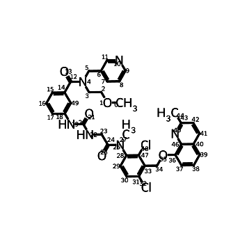 COCCN(Cc1cccnc1)C(=O)c1cccc(NC(=O)NCC(=O)N(C)c2ccc(Cl)c(COc3cccc4ccc(C)nc34)c2Cl)c1